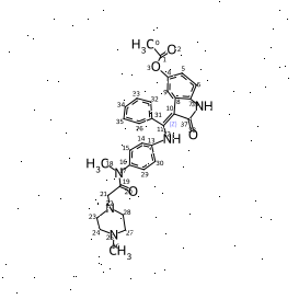 CC(=O)Oc1ccc2c(c1)/C(=C(/Nc1ccc(N(C)C(=O)CN3CCN(C)CC3)cc1)c1ccccc1)C(=O)N2